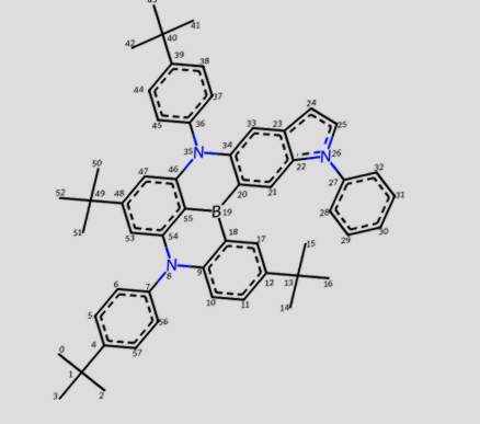 CC(C)(C)c1ccc(N2c3ccc(C(C)(C)C)cc3B3c4cc5c(ccn5-c5ccccc5)cc4N(c4ccc(C(C)(C)C)cc4)c4cc(C(C)(C)C)cc2c43)cc1